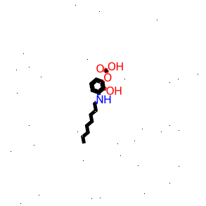 CCCCCCCCNc1cccc(OC(=O)O)c1O